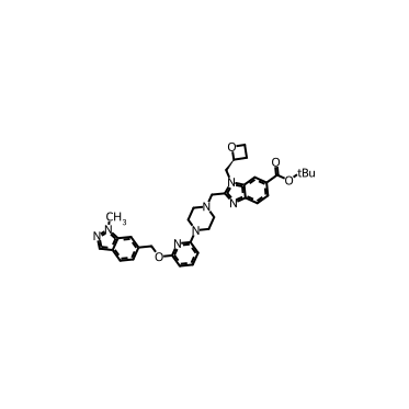 Cn1ncc2ccc(COc3cccc(N4CCN(Cc5nc6ccc(C(=O)OC(C)(C)C)cc6n5C[C@@H]5CCO5)CC4)n3)cc21